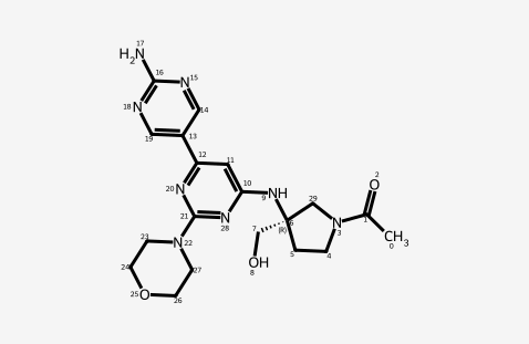 CC(=O)N1CC[C@@](CO)(Nc2cc(-c3cnc(N)nc3)nc(N3CCOCC3)n2)C1